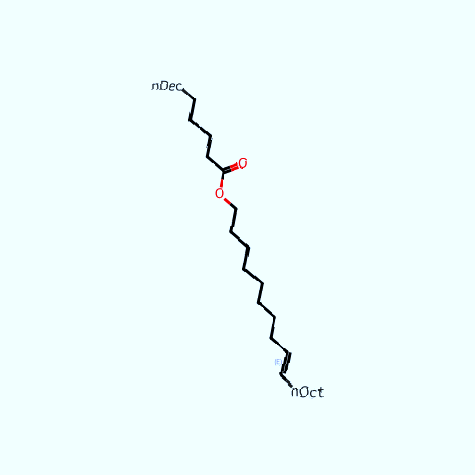 CCCCCCCC/C=C/CCCCCCCCOC(=O)CCCCCCCCCCCCCC